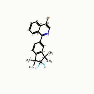 CC1(C)c2ccc(-c3ncc(Br)c4ccccc34)cc2C(C)(C)C1(F)F